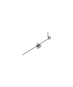 CCCCCCCCCCCCCCCCCC(=O)OC(=O)CCCCCCCCCCC1OC1CCCCC